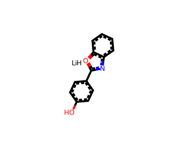 Oc1ccc(-c2nc3ccccc3o2)cc1.[LiH]